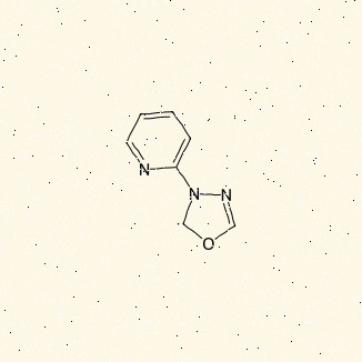 [CH]1OC=NN1c1ccccn1